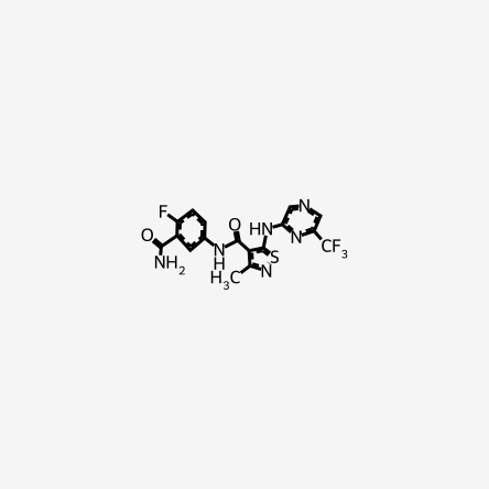 Cc1nsc(Nc2cncc(C(F)(F)F)n2)c1C(=O)Nc1ccc(F)c(C(N)=O)c1